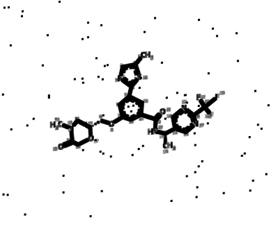 Cc1cnc(-c2cc(OC[C@H]3CN(C)C(=O)CO3)cc(C(=O)N[C@H](C)c3cnc(C(F)(F)F)nc3)c2)s1